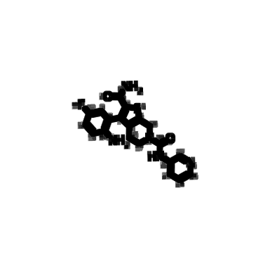 NC(=O)c1sc2c(c1-c1cc(F)ccc1N)CCN(C(=O)Nc1cccnc1)C2